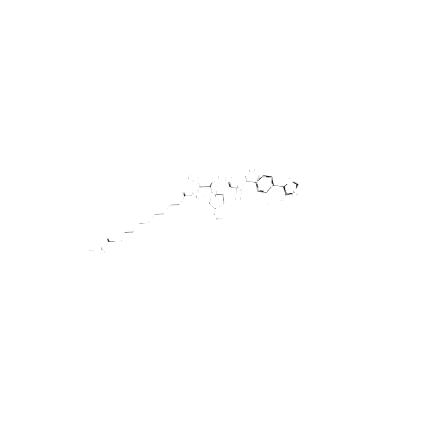 Cc1ncsc1-c1ccc(C(C)NC(=O)[C@@H]2C[C@@H](O)CN2C(=O)C(NC(=O)CCCCCCCCOC(N)=O)C(C)(C)C)cc1